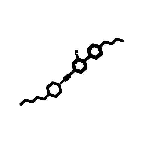 CCCCC[C@H]1CC[C@H](C#Cc2ccc(-c3ccc(CCCC)cc3)c(F)c2)CC1